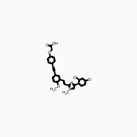 COc1ccc(C#Cc2ccc(OCC(=O)O)cc2)cc1C=Cc1nc(-c2ccc(Cl)cc2Cl)cn1C